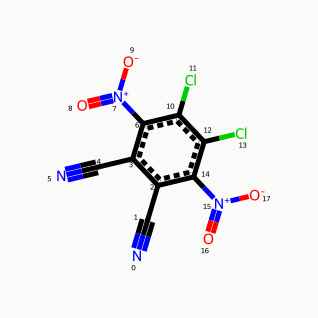 N#Cc1c(C#N)c([N+](=O)[O-])c(Cl)c(Cl)c1[N+](=O)[O-]